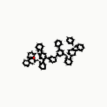 C1=Cc2nc(-n3c4ccccc4c4c(-c5cccc(-c6cc(-n7c8ccccc8c8cc9c%10ccccc%10n(-c%10ccccc%10)c9cc87)cc(-c7ccccc7)n6)c5)cc5c6ccccc6n(-c6ccccc6)c5c43)ccc2CC1